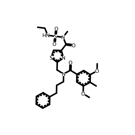 CCNS(=O)(=O)N(C)C(=O)c1csc(CN(CCCc2ccccc2)C(=O)c2cc(OC)c(C)c(OC)c2)n1